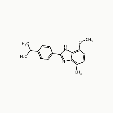 COc1ccc(C)c2nc(-c3ccc(C(C)C)cc3)[nH]c12